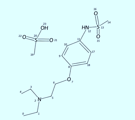 CCN(CC)CCOc1ccc(NS(C)(=O)=O)cc1.CS(=O)(=O)O